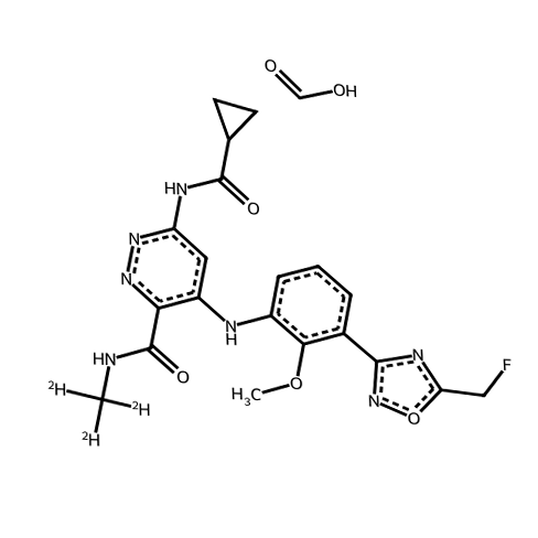 O=CO.[2H]C([2H])([2H])NC(=O)c1nnc(NC(=O)C2CC2)cc1Nc1cccc(-c2noc(CF)n2)c1OC